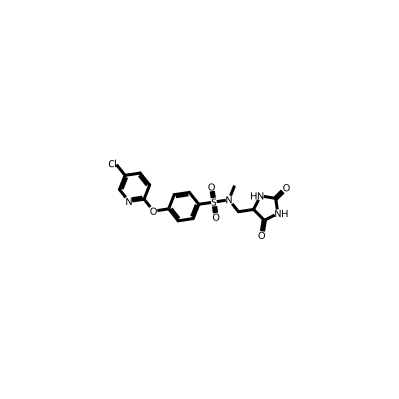 CN(CC1NC(=O)NC1=O)S(=O)(=O)c1ccc(Oc2ccc(Cl)cn2)cc1